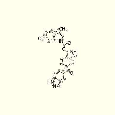 CC(CNC(=O)Oc1[nH]nc2c1CCN(C(=O)c1ccc3[nH]nnc3c1)C2)c1ccc(Cl)cc1